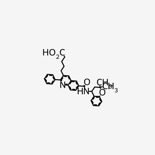 CC1(C)CC(NC(=O)c2ccc3nc(-c4ccccc4)c(CCCCC(=O)O)cc3c2)c2ccccc2O1